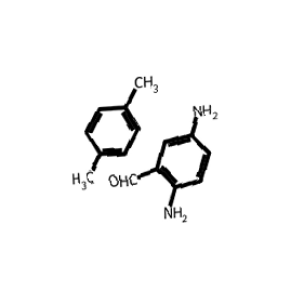 Cc1ccc(C)cc1.Nc1ccc(N)c(C=O)c1